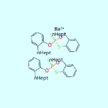 CCCCCCCc1ccccc1OP([O-])(=S)Sc1ccccc1CCCCCCC.CCCCCCCc1ccccc1OP([O-])(=S)Sc1ccccc1CCCCCCC.[Ba+2]